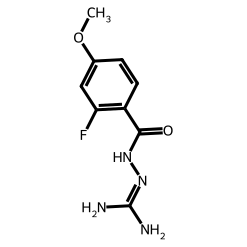 COc1ccc(C(=O)NN=C(N)N)c(F)c1